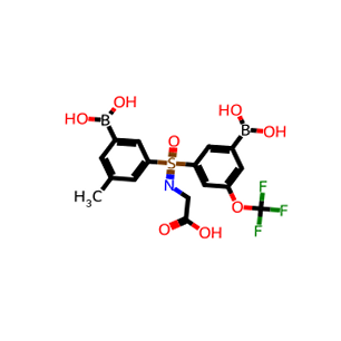 Cc1cc(B(O)O)cc(S(=O)(=NCC(=O)O)c2cc(OC(F)(F)F)cc(B(O)O)c2)c1